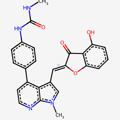 CNC(=O)Nc1ccc(-c2ccnc3c2c(/C=C2\Oc4cccc(O)c4C2=O)cn3C)cc1